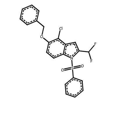 O=S(=O)(c1ccccc1)n1c(C(F)F)cc2c(Cl)c(OCc3ccccc3)ccc21